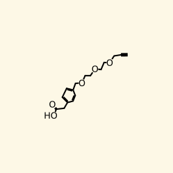 C#CCOCCOCCOCc1ccc(CC(=O)O)cc1